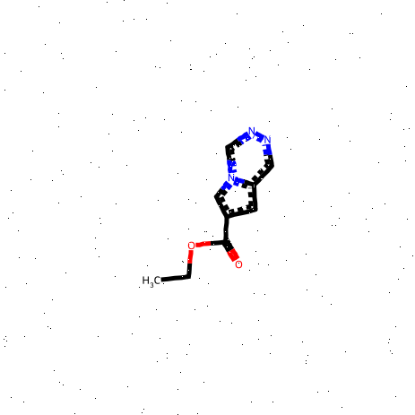 CCOC(=O)c1cc2cnncn2c1